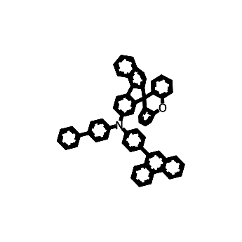 c1ccc(-c2ccc(N(c3ccc(-c4cc5ccccc5c5ccccc45)cc3)c3ccc4c(c3)C3(c5ccccc5Oc5ccccc53)c3ccc5ccccc5c3-4)cc2)cc1